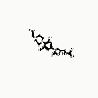 CC(C)C(=S)NCC1CN(c2cc(F)c(N3CCN(CCF)CC3)c(F)c2)C(=O)O1